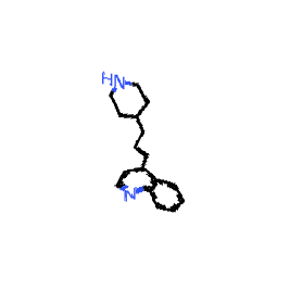 C(=C\c1ccnc2ccccc12)/CC1CCNCC1